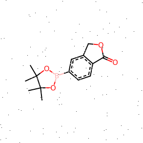 CC1(C)OB(c2ccc3c(c2)COC3=O)OC1(C)C